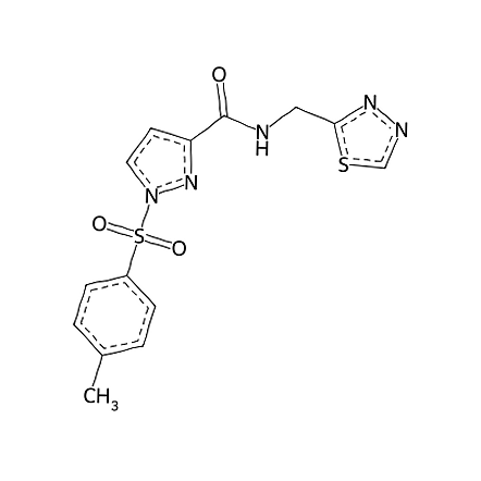 Cc1ccc(S(=O)(=O)n2ccc(C(=O)NCc3nncs3)n2)cc1